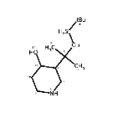 CC(C)(C)[SiH2]OC(C)(C)C1CNCCC1O